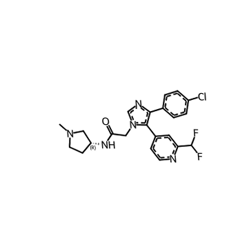 CN1CC[C@@H](NC(=O)Cn2cnc(-c3ccc(Cl)cc3)c2-c2ccnc(C(F)F)c2)C1